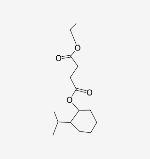 CCOC(=O)CCC(=O)OC1CCCCC1C(C)C